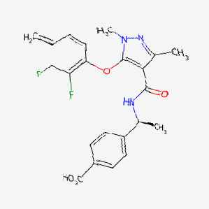 C=C/C=C\C(Oc1c(C(=O)N[C@@H](C)c2ccc(C(=O)O)cc2)c(C)nn1C)=C(\F)CF